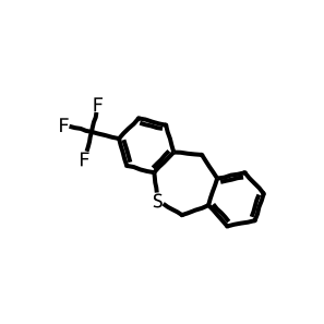 FC(F)(F)c1ccc2c(c1)SCc1ccccc1C2